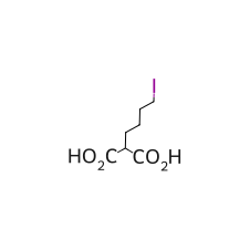 O=C(O)C(CCCCI)C(=O)O